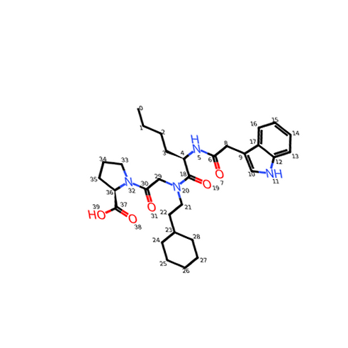 CCCC[C@@H](NC(=O)Cc1c[nH]c2ccccc12)C(=O)N(CCC1CCCCC1)CC(=O)N1CCC[C@@H]1C(=O)O